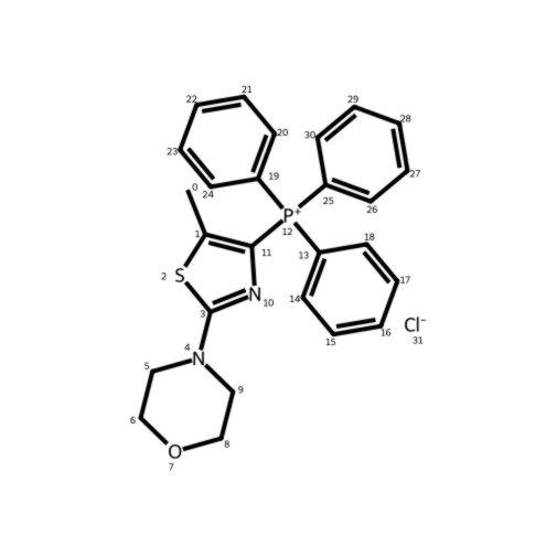 Cc1sc(N2CCOCC2)nc1[P+](c1ccccc1)(c1ccccc1)c1ccccc1.[Cl-]